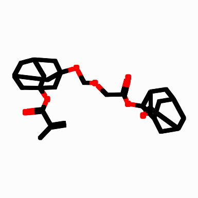 C=C(C)C(=O)OC12CC3CC(CC(OCOCC(=O)OC4C5CC6CC(C5)C(=O)C4C6)(C3)C1)C2